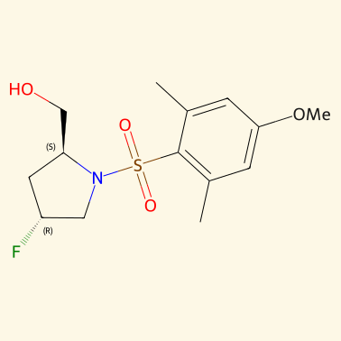 COc1cc(C)c(S(=O)(=O)N2C[C@H](F)C[C@H]2CO)c(C)c1